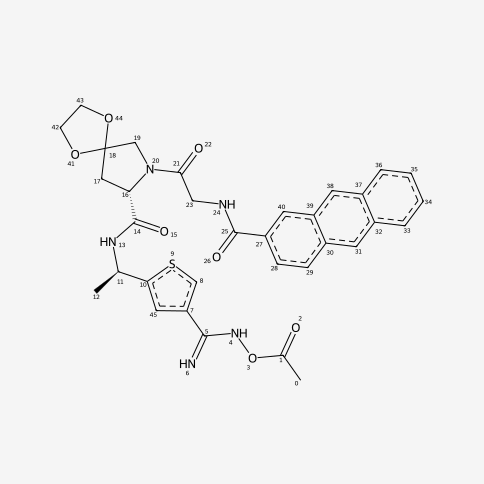 CC(=O)ONC(=N)c1csc([C@@H](C)NC(=O)[C@@H]2CC3(CN2C(=O)CNC(=O)c2ccc4cc5ccccc5cc4c2)OCCO3)c1